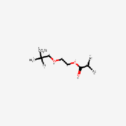 CCOC(=O)C(C)(CC)COCCOC(=O)C(C(C)=O)C(C)=O